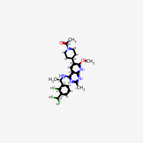 COc1nc2nc(C)nc(N[C@H](C)c3cccc(C(F)F)c3F)c2cc1C1CCN(C(C)=O)CC1